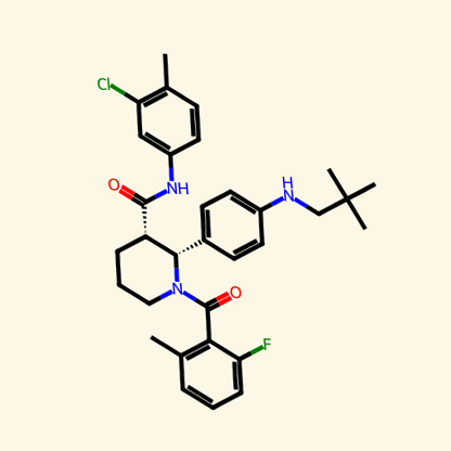 Cc1ccc(NC(=O)[C@H]2CCCN(C(=O)c3c(C)cccc3F)[C@H]2c2ccc(NCC(C)(C)C)cc2)cc1Cl